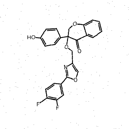 O=C1c2ccccc2OCC1(OCc1coc(-c2ccc(F)c(F)c2)n1)c1ccc(O)cc1